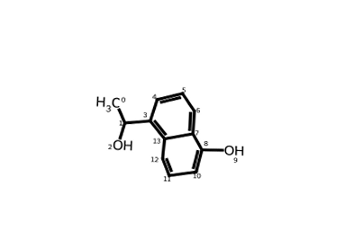 CC(O)c1cccc2c(O)cccc12